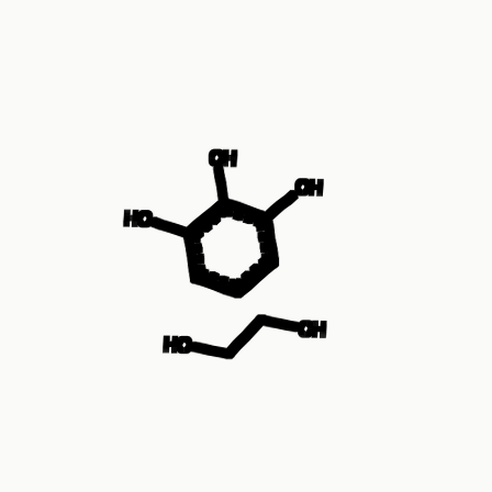 OCCO.Oc1cccc(O)c1O